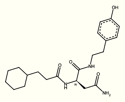 NC(=O)C[C@@H](NC(=O)CCC1CCCCC1)C(=O)NCCc1ccc(O)cc1